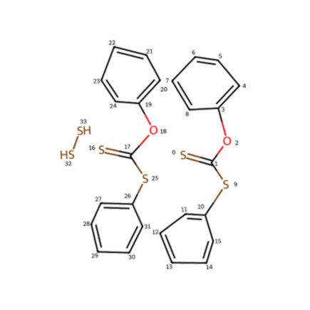 S=C(Oc1ccccc1)Sc1ccccc1.S=C(Oc1ccccc1)Sc1ccccc1.SS